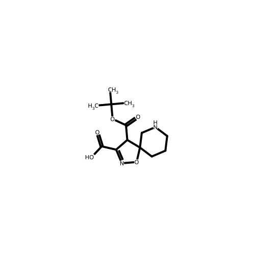 CC(C)(C)OC(=O)C1C(C(=O)O)=NOC12CCCNC2